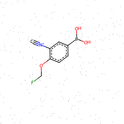 [C-]#[N+]c1cc(B(O)O)ccc1OCF